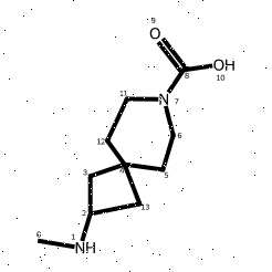 CNC1CC2(CCN(C(=O)O)CC2)C1